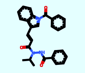 CC(C)N(NC(=O)c1ccccc1)C(=O)C=Cc1cn(C(=O)c2ccccc2)c2ccccc12